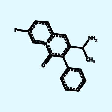 CC(N)c1cc2ccc(F)cn2c(=O)c1-c1ccccc1